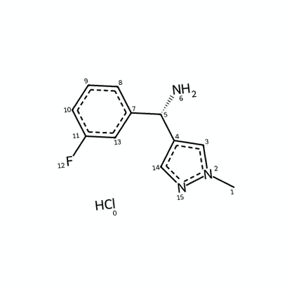 Cl.Cn1cc([C@@H](N)c2cccc(F)c2)cn1